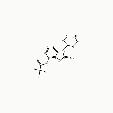 CC(C)(C)C(=O)Oc1cccc2c1[nH]c(=O)n2C1CCNCC1